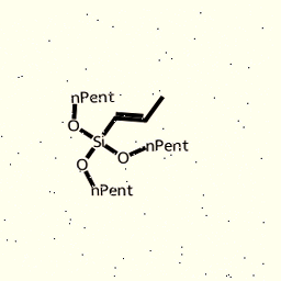 CC=C[Si](OCCCCC)(OCCCCC)OCCCCC